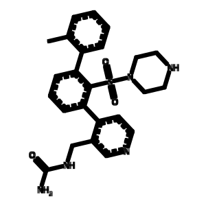 Cc1ccccc1-c1cccc(-c2ccncc2CNC(N)=O)c1S(=O)(=O)N1CCNCC1